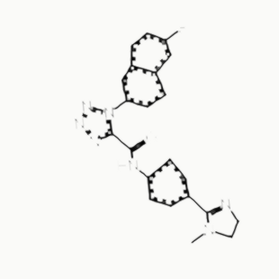 CN1CCN=C1c1ccc(NC(=O)c2nnnn2-c2ccc3cc(F)ccc3c2)cc1